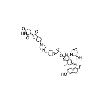 CCc1c(F)ccc2cc(O)cc(-c3ncc4c(N5CCOCC(C)(O)C5)nc(OCC5(CN6CCC(CN7CCN(c8ccc9c(c8)CN([C@H]8CCC(=O)NC8=O)C9=O)CC7)CC6)CC5)nc4c3F)c12